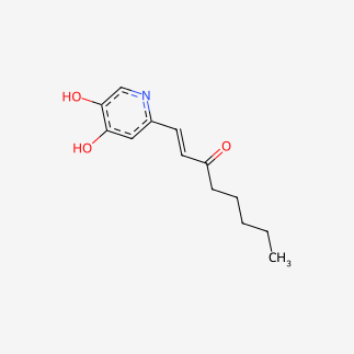 CCCCCC(=O)C=Cc1cc(O)c(O)cn1